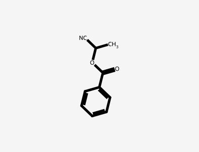 CC(C#N)OC(=O)c1ccccc1